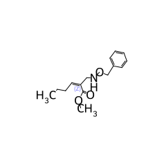 CCC/C=C(/CNOCc1ccccc1)C(=O)OC